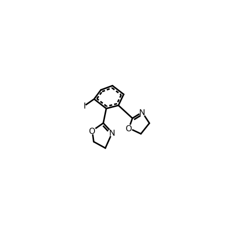 Ic1cccc(C2=NCCO2)c1C1=NCCO1